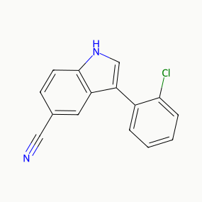 N#Cc1ccc2[nH]cc(-c3ccccc3Cl)c2c1